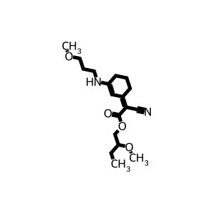 CCC(COC(=O)/C(C#N)=C1\C=C(NCCCOC)CCC1)OC